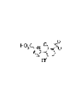 O=C(O)c1csc(-c2c(Cl)ccc(S(=O)(=O)F)c2Cl)n1